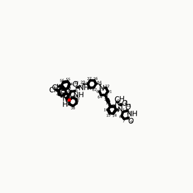 Cn1c(=O)n(C2CCC(=O)NC2=O)c2cccc(C#CC3CCN(C[C@H]4CC[C@H](CNC(=O)[C@@H]5NC6(CCCCC6)[C@@]6(C(=O)Nc7cc(Cl)ccc76)[C@H]5c5cccc(Cl)c5F)CC4)CC3)c21